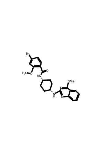 CNc1nc(N[C@H]2CC[C@@H](NC(=O)c3ccc(Br)cc3OC(F)(F)F)CC2)nc2ccccc12